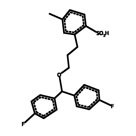 Cc1ccc(S(=O)(=O)O)c(CCCOC(c2ccc(F)cc2)c2ccc(F)cc2)c1